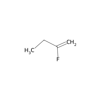 C=C(F)CC